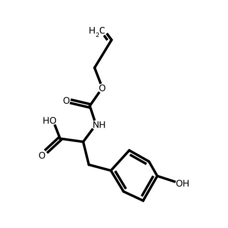 C=CCOC(=O)NC(Cc1ccc(O)cc1)C(=O)O